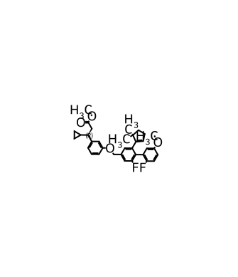 COC(=O)C[C@@H](c1cccc(OCc2cc(F)c(-c3cc(OC)ccc3F)c(C3=CCCC3(C)C)c2)c1)C1CC1